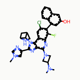 CN(C)C1CN(c2nc3c(F)c(-c4cc(O)cc5ccccc45)c(Cl)cc3c3c2nc(-c2cn(C)cn2)n3C2C3CNC2C3)C1